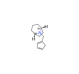 C1=CCC(CN2[C@@H]3CCC[C@H]2CC3)=C1